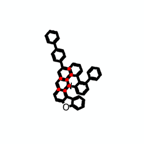 c1ccc(-c2ccc(-c3ccc(N(c4cccc(-c5ccccc5)c4-c4ccccc4-c4ccccc4)c4cccc5oc6ccccc6c45)cc3)cc2)cc1